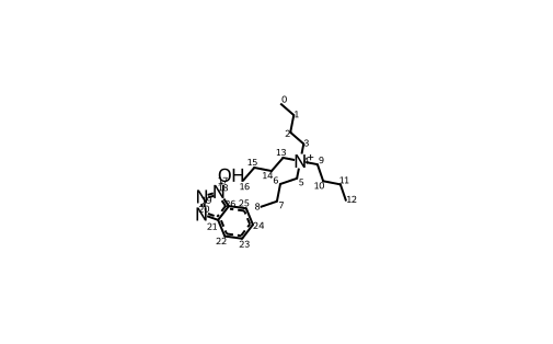 CCCC[N+](CCCC)(CCCC)CCCC.On1nnc2ccccc21